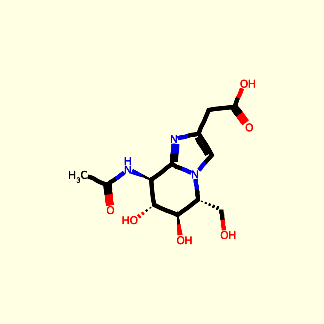 CC(=O)N[C@H]1c2nc(CC(=O)O)cn2[C@H](CO)[C@@H](O)[C@@H]1O